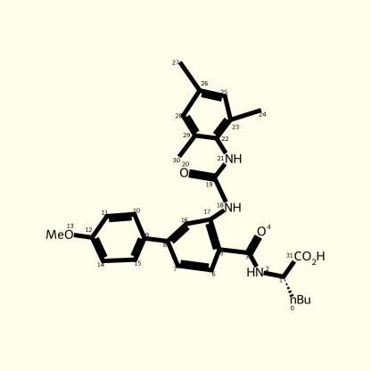 CCCC[C@H](NC(=O)c1ccc(-c2ccc(OC)cc2)cc1NC(=O)Nc1c(C)cc(C)cc1C)C(=O)O